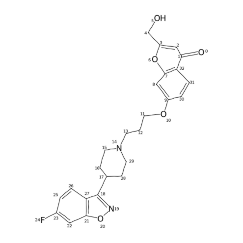 O=c1cc(CO)oc2cc(OCCCN3CCC(c4noc5cc(F)ccc45)CC3)ccc12